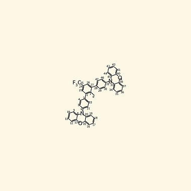 Cc1c(-c2ccc(N3c4ccccc4Oc4ccccc43)cc2)cc(C(F)(F)F)cc1-c1ccc(N2c3ccccc3Oc3ccccc32)cc1